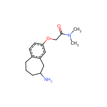 CN(C)C(=O)COc1ccc2c(c1)CC(N)CCC2